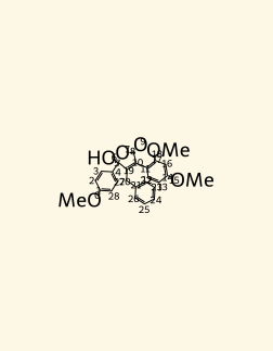 COc1ccc(C2(O)OC(=O)C(c3ccc(OC)cc3OC)=C2Cc2ccccc2)cc1